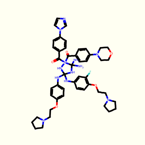 NC1(N)NC(Nc2ccc(OCCN3CCCC3)cc2)(Nc2ccc(OCCN3CCCC3)c(F)c2)N[N+]1(C(=O)c1ccc(N2CCOCC2)cc1)C(=O)c1ccc(-n2ccnc2)cc1